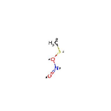 CSON=O